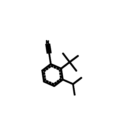 CC(C)c1cccc(C#N)c1C(C)(C)C